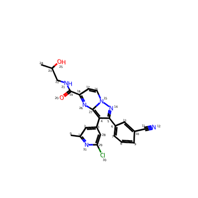 Cc1cc(-c2c(-c3cccc(C#N)c3)nn3ccc(C(=O)NCC(C)O)nc23)cc(Cl)n1